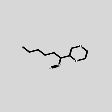 CCCCCC([S+]=O)C1COCCO1